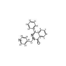 O=c1c2ccccc2c(-c2ccccc2)nn1Cc1ccncc1